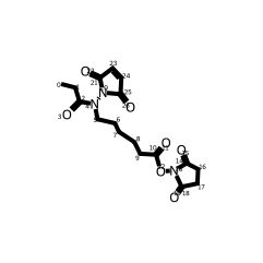 CCC(=O)N(CCCCCC(=O)ON1C(=O)CCC1=O)N1C(=O)C=CC1=O